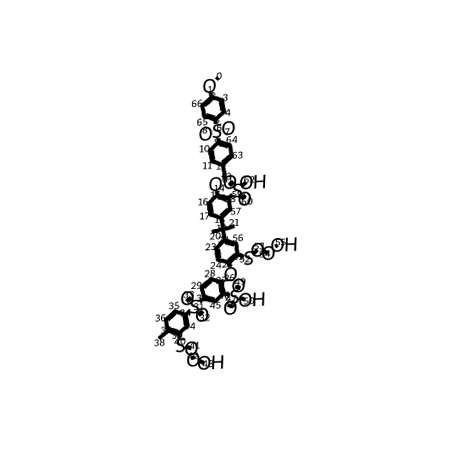 COc1ccc(S(=O)(=O)c2ccc(COc3ccc(C(C)(C)c4ccc(Oc5ccc(S(=O)(=O)c6ccc(C)c(SOOO)c6)cc5S(=O)(=O)O)c(SOOO)c4)cc3S(=O)(=O)O)cc2)cc1